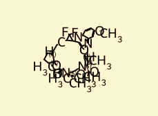 COc1ccc2nc3c(nc2c1)O[C@H]1CN(C(=O)[C@H](C(C)(C)C)NC(=O)O[C@]2(C)CCC[C@H]2CCCC2C3C2(F)F)[C@H](C(C)=O)[C@@H]1C